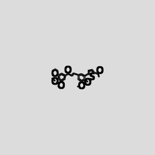 COc1cc(C(=O)/C=C/c2cc(OC)c(OC)c(-c3ccc(C(C)=O)s3)c2)cc(OC)c1OC